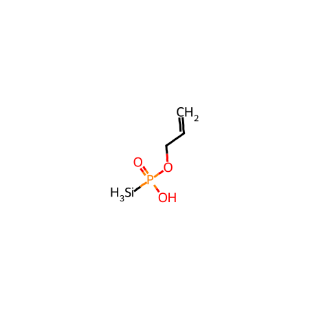 C=CCOP(=O)(O)[SiH3]